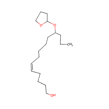 CCCC(CCCC/C=C\CCCCO)OC1CCCO1